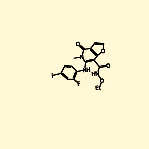 CCONC(=O)c1c(Nc2ccc(I)cc2F)n(C)c(=O)c2ccoc12